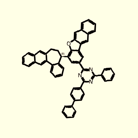 c1ccc(-c2ccc(-c3nc(-c4ccccc4)nc(-c4cc([C@@H]5CCc6cc7ccccc7cc6-c6ccccc65)c5oc6cc7ccccc7cc6c5c4)n3)cc2)cc1